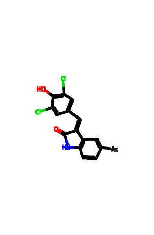 CC(=O)c1ccc2c(c1)C(=Cc1cc(Cl)c(O)c(Cl)c1)C(=O)N2